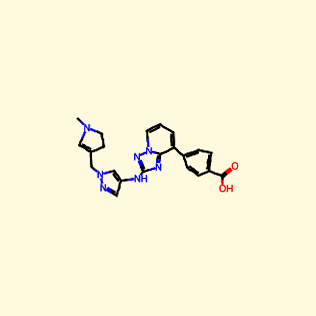 CN1C=C(Cn2cc(Nc3nc4c(-c5ccc(C(=O)O)cc5)cccn4n3)cn2)CC1